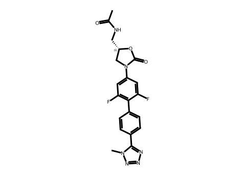 CC(=O)NC[C@H]1CN(c2cc(F)c(-c3ccc(-c4nnnn4C)cc3)c(F)c2)C(=O)O1